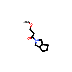 CCCCOCCC(=O)N1CC2CCCC2C1